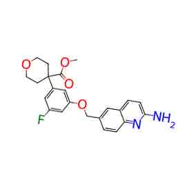 COC(=O)C1(c2cc(F)cc(OCc3ccc4nc(N)ccc4c3)c2)CCOCC1